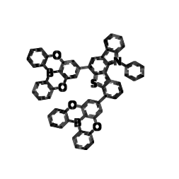 c1ccc(-n2c3ccccc3c3cc(-c4cc5c6c(c4)Oc4ccccc4B6c4ccccc4O5)c4sc5c(-c6cc7c8c(c6)Oc6ccccc6B8c6ccccc6O7)cccc5c4c32)cc1